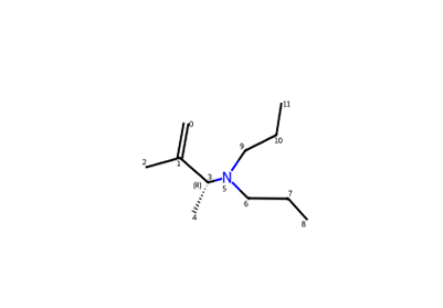 C=C(C)[C@@H](C)N(CCC)CCC